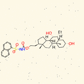 CC[C@H]1[C@@H](O)[C@@H]2[C@H](CC[C@]3(C)[C@@H](CCOC(=O)NS(=O)(=O)c4cccc5ccccc45)CC[C@@H]23)[C@@]2(C)CC[C@@H](O)C[C@@H]12